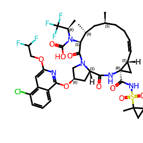 C[C@H]1CCC=C[C@@H]2C[C@@]2(C(=O)NS(=O)(=O)C2(C)CC2)NC(=O)[C@@H]2C[C@@H](Oc3nc(OCC(F)F)cc4c(Cl)cccc34)CN2C(=O)[C@@H](N(C(=O)O)[C@H](C)C(F)(F)F)[C@H](C)C1